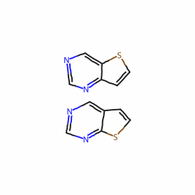 c1ncc2ccsc2n1.c1ncc2sccc2n1